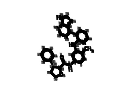 Cc1ccc(NC(=O)N2OCC[C@@H]2c2ccccc2)cc1Nc1ncccc1-c1ncnc2[nH]cnc12